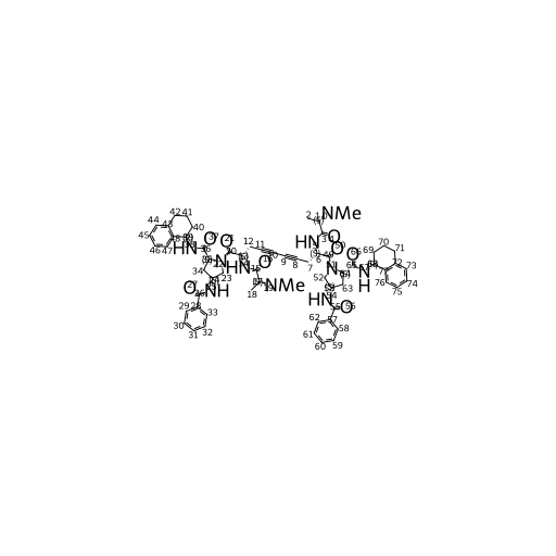 CN[C@@H](C)C(=O)N[C@@H](CC#CC#CC[C@H](NC(=O)[C@H](C)NC)C(=O)N1C[C@@H](NC(=O)c2ccccc2)C[C@H]1C(=O)N[C@@H]1CCCc2ccccc21)C(=O)N1C[C@@H](NC(=O)c2ccccc2)C[C@H]1C(=O)N[C@@H]1CCCc2ccccc21